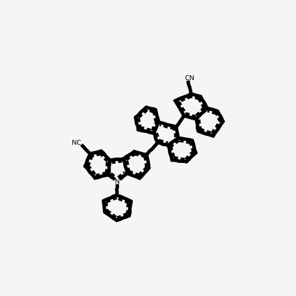 N#Cc1cc(-c2c3ccccc3c(-c3ccc4c(c3)c3cc(C#N)ccc3n4-c3ccccc3)c3ccccc23)c2ccccc2c1